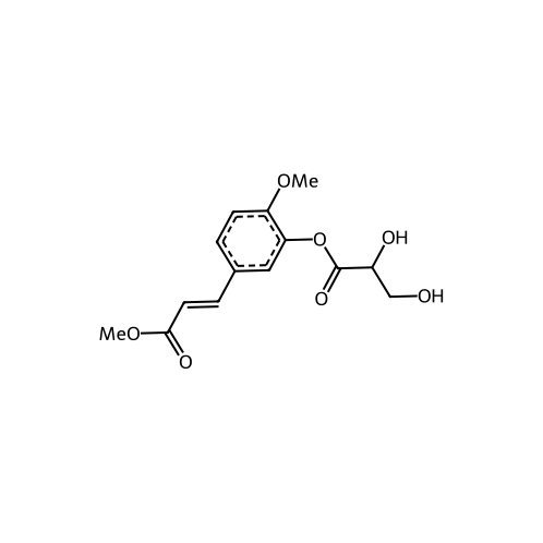 COC(=O)C=Cc1ccc(OC)c(OC(=O)C(O)CO)c1